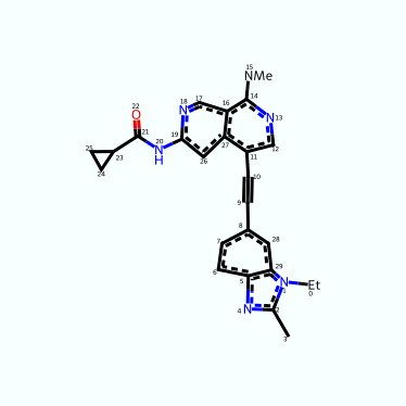 CCn1c(C)nc2ccc(C#Cc3cnc(NC)c4cnc(NC(=O)C5CC5)cc34)cc21